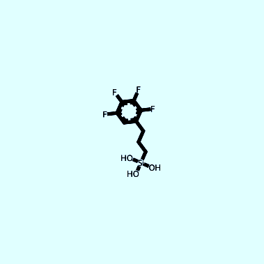 O[Si](O)(O)CCCc1cc(F)c(F)c(F)c1F